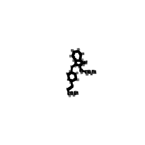 CCOC(=O)C=Cc1ccc(Cc2c(OC(=O)OCC)[nH]c3ccccc23)cc1